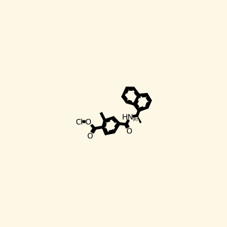 Cc1cc(C(=O)N[C@H](C)c2cccc3ccccc23)ccc1C(=O)OCl